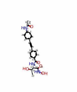 CCC(=O)Nc1ccc(C#Cc2ccc(C(=O)N[C@H](C(=O)NO)[C@@H](C)O)cc2)cc1